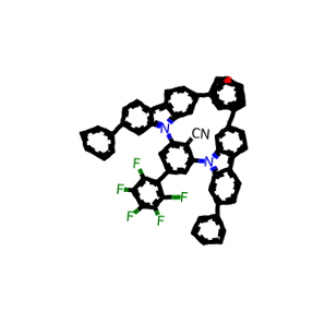 N#Cc1c(-n2c3cc(-c4ccccc4)ccc3c3ccc(-c4ccccc4)cc32)cc(-c2c(F)c(F)c(F)c(F)c2F)cc1-n1c2cc(-c3ccccc3)ccc2c2ccc(-c3ccccc3)cc21